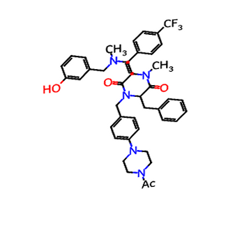 CC(=O)N1CCN(c2ccc(CN(C(=O)C=Cc3ccc(C(F)(F)F)cc3)C(Cc3ccccc3)C(=O)N(C)CCN(C)Cc3cccc(O)c3)cc2)CC1